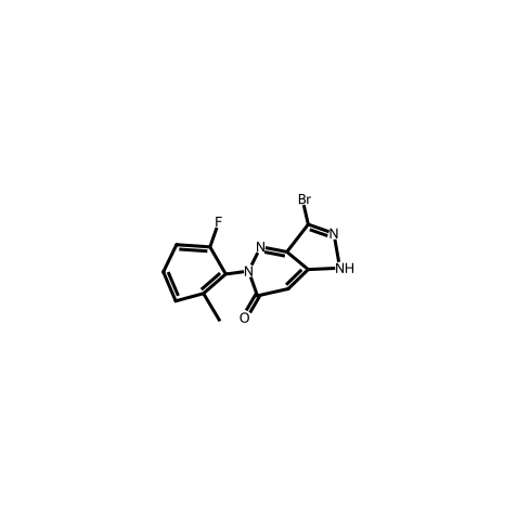 Cc1cccc(F)c1-n1nc2c(Br)n[nH]c2cc1=O